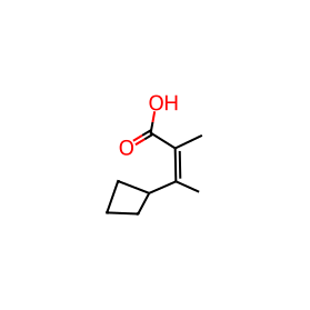 CC(C(=O)O)=C(C)C1CCC1